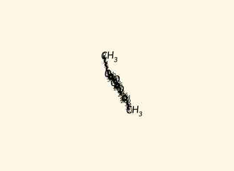 CCCCCCCCCOc1ccc(C(=O)Oc2ccc(OCC=C[C@H]3CC[C@H](CCCCC)CC3)cc2)cc1